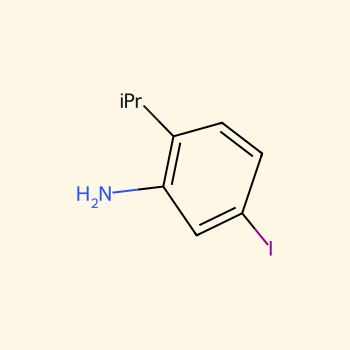 CC(C)c1ccc(I)cc1N